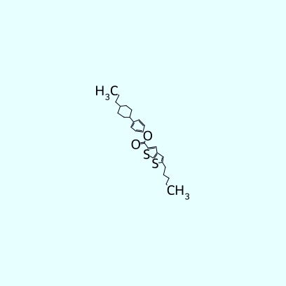 CCCCCc1cc2cc(C(=O)Oc3ccc(C4CCC(CCC)CC4)cc3)sc2s1